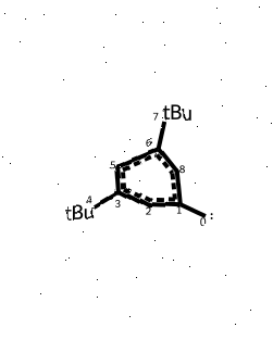 [CH]c1cc(C(C)(C)C)cc(C(C)(C)C)c1